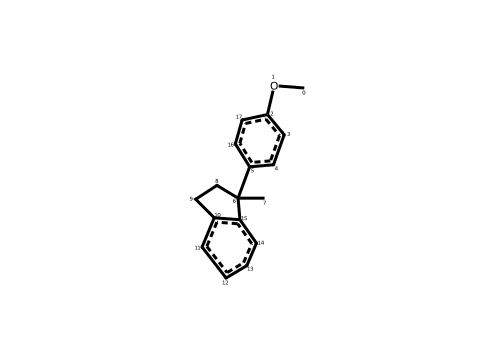 COc1ccc(C2(C)CCc3ccccc32)cc1